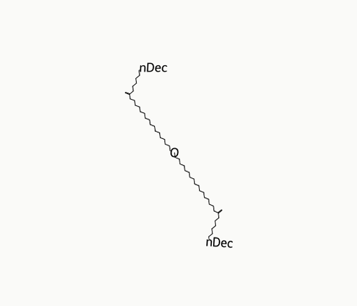 C=C(CCCCCCCCCCCCCCCC)CCCCCCCCCCCCCCCCCOCCCCCCCCCCCCCCCCCC(=C)CCCCCCCCCCCCCCCC